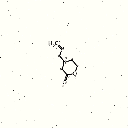 C=CCN1CCOC(=O)C1